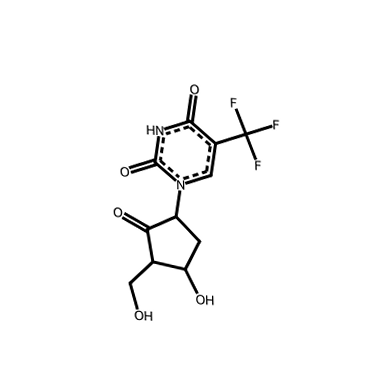 O=C1C(CO)C(O)CC1n1cc(C(F)(F)F)c(=O)[nH]c1=O